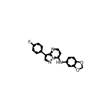 Fc1ccc(-c2cnn3c(Nc4ccc5c(c4)OCO5)ccnc23)cc1